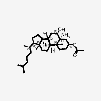 CC(=O)O[C@H]1CC[C@]2(C)[C@H]3CC[C@]4(C)[C@@H]([C@H](C)CCCC(C)C)CC[C@H]4[C@@H]3C[C@@H](O)[C@@]2(N)C1